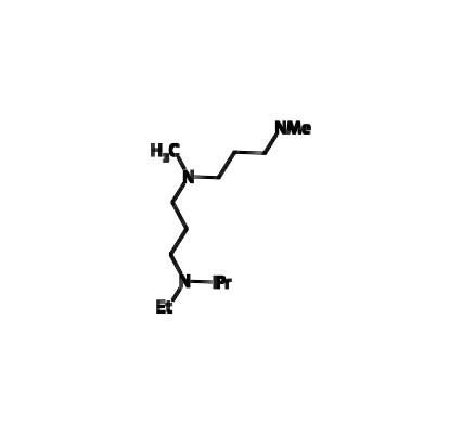 CCN(CCCN(C)CCCNC)C(C)C